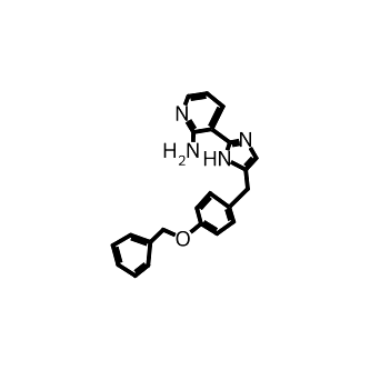 Nc1ncccc1-c1ncc(Cc2ccc(OCc3ccccc3)cc2)[nH]1